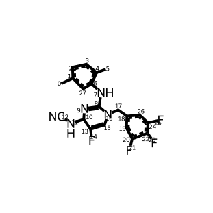 Cc1ccc(C)c(NC2=NC(NC#N)C(F)=CN2Cc2cc(F)c(F)c(F)c2)c1